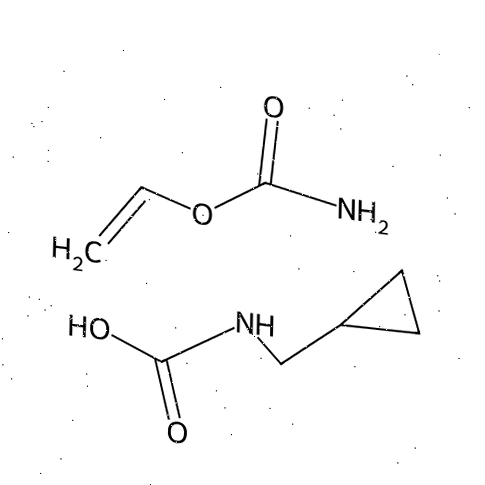 C=COC(N)=O.O=C(O)NCC1CC1